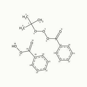 CC(C)(C)OOOC(=O)c1ccccc1.O=C(OO)c1ccccc1